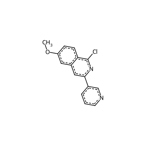 COc1ccc2c(Cl)nc(-c3cccnc3)cc2c1